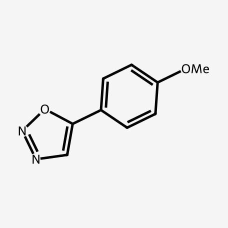 COc1ccc(-c2cnno2)cc1